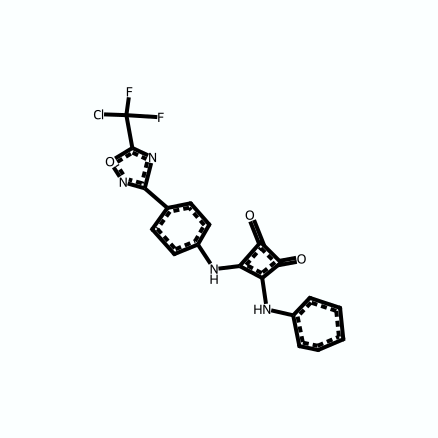 O=c1c(Nc2ccccc2)c(Nc2ccc(-c3noc(C(F)(F)Cl)n3)cc2)c1=O